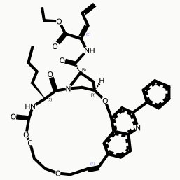 C=C/C=C(/NC(=O)[C@@H]1C[C@@H]2CN1C(=O)[C@H](CCCC)NC(=O)OCCCCC/C=C/c1ccc3nc(-c4ccccc4)cc(c3c1)O2)C(=O)OCC